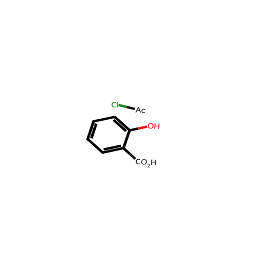 CC(=O)Cl.O=C(O)c1ccccc1O